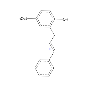 CCCCCCCCc1ccc(O)c(C/C=C/c2ccccc2)c1